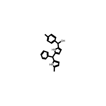 Cc1ccc(C(O)c2ccc(C(c3ccccc3)c3ccc(C)[nH]3)[nH]2)cc1